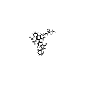 CCOC(=O)/C=C/c1ccc(/C(=C(\c2ccccc2SC)C2CC2)c2ccc3c(c2)c(F)nn3C2CCCCO2)cc1